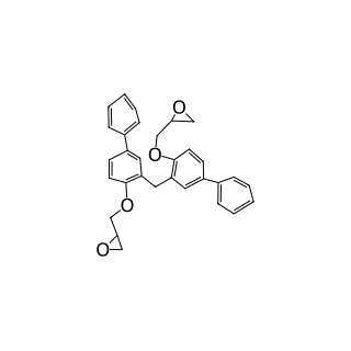 c1ccc(-c2ccc(OCC3CO3)c(Cc3cc(-c4ccccc4)ccc3OCC3CO3)c2)cc1